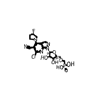 N#Cc1c(Cl)nc2c(cnn2[C@@H]2O[C@H](COCP(=O)(O)O)[C@@H](O)[C@H]2O)c1N1CC[C@H](F)C1